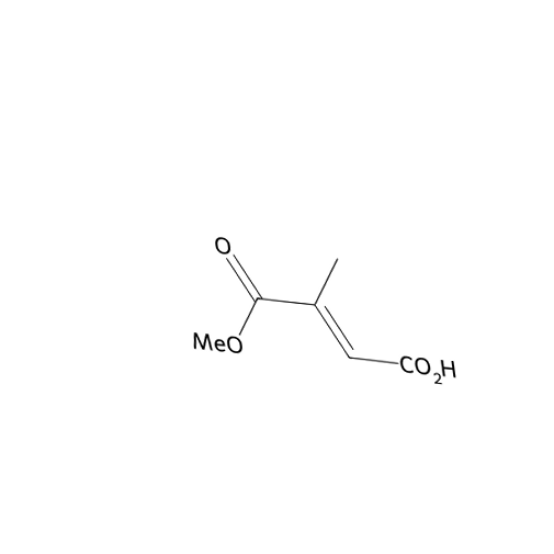 COC(=O)C(C)=CC(=O)O